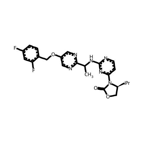 CC(Nc1nccc(N2C(=O)OC[C@@H]2C(C)C)n1)c1ncc(OCc2ccc(F)cc2F)cn1